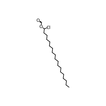 CCCCCCCCCCCCCCCCCCC(Cl)OC=O